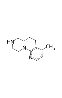 Cc1ccnc2c1CCC1CNCCN21